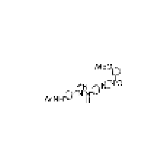 COc1cccc(C(=O)N2CCN(c3ccc(Nc4nccc(-c5ccc(NC(C)=O)cc5)n4)cc3)CC2)c1